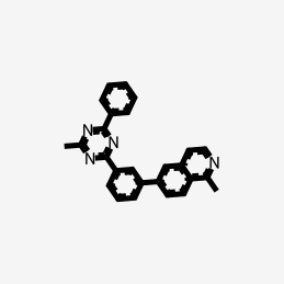 Cc1nc(-c2ccccc2)nc(-c2cccc(-c3ccc4c(C)nccc4c3)c2)n1